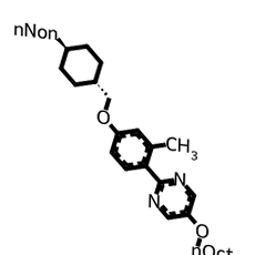 CCCCCCCCC[C@H]1CC[C@H](COc2ccc(-c3ncc(OCCCCCCCC)cn3)c(C)c2)CC1